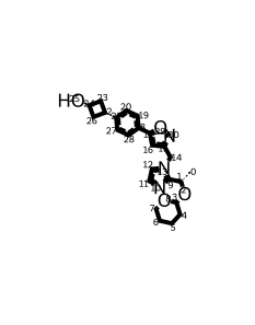 C[C@H](OC1CCCCO1)c1nccn1Cc1cc(-c2ccc([C@H]3C[C@@H](O)C3)cc2)on1